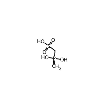 C=P(O)(O)CS(=O)(=O)O